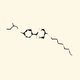 CCCCCCCCOc1cnc(-c2ccc(OCC(C)CC)cc2)nc1